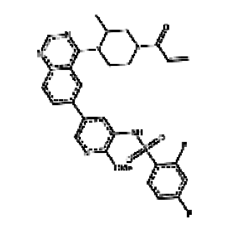 C=CC(=O)N1CCN(c2ncnc3ccc(-c4cnc(OC)c(NS(=O)(=O)c5ccc(F)cc5F)c4)cc23)C(C)C1